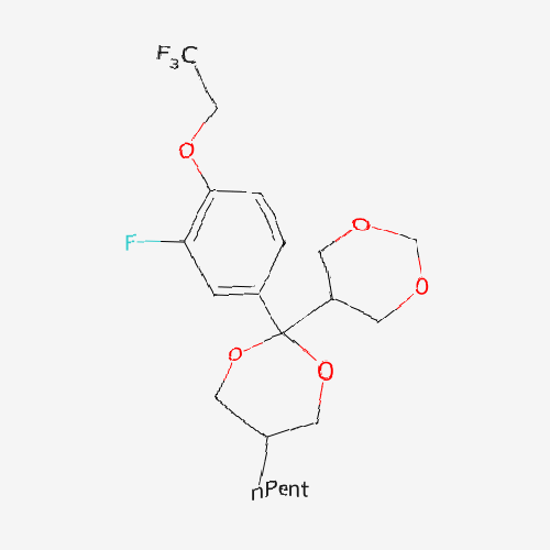 CCCCCC1COC(c2ccc(OCC(F)(F)F)c(F)c2)(C2COCOC2)OC1